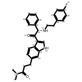 CN(C)C(=O)CCc1ccc2c(C(=O)[C@@H](NCCc3ccc(F)cc3)c3ccccc3)c[nH]c2c1